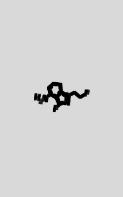 Nc1cccc2c1c(F)nn2CCF